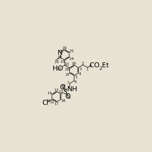 CCOC(=O)CCc1cc(CCNS(=O)(=O)c2ccc(Cl)cc2)cc(C(O)c2cccnc2C)c1